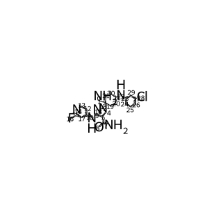 NCC1(n2cc(C(N)=O)c(Nc3ccnc(F)c3)n2)CCC(Nc2cccc(Cl)c2)CC1